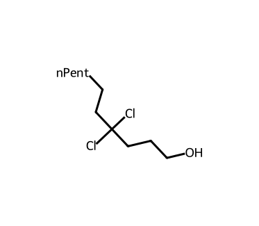 CCCCCCCC(Cl)(Cl)CCCO